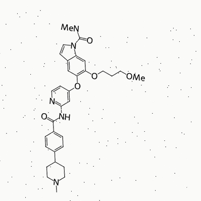 CNC(=O)n1ccc2cc(Oc3ccnc(NC(=O)c4ccc(C5CCN(C)CC5)cc4)c3)c(OCCCOC)cc21